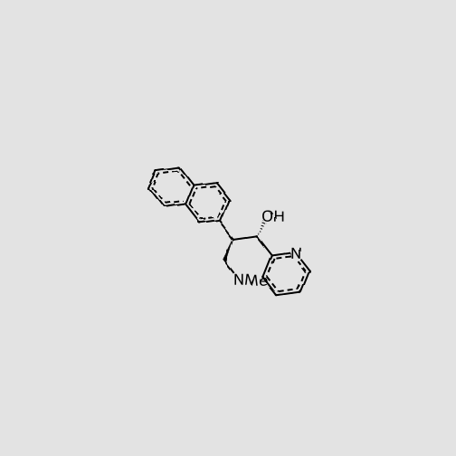 CNC[C@@H](c1ccc2ccccc2c1)[C@H](O)c1ccccn1